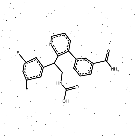 NC(=O)c1cccc(-c2cccnc2C(CNC(=O)O)c2cc(F)cc(F)c2)c1